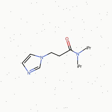 CC(C)N(C(=O)CCn1c[c]nc1)C(C)C